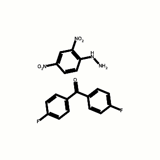 NNc1ccc([N+](=O)[O-])cc1[N+](=O)[O-].O=C(c1ccc(F)cc1)c1ccc(F)cc1